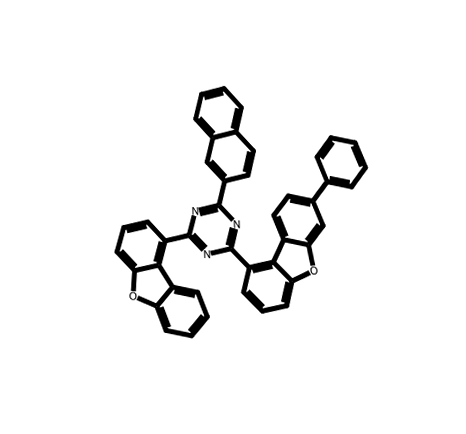 c1ccc(-c2ccc3c(c2)oc2cccc(-c4nc(-c5ccc6ccccc6c5)nc(-c5cccc6oc7ccccc7c56)n4)c23)cc1